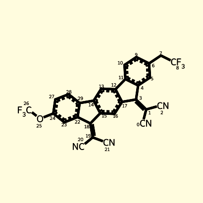 N#CC(C#N)=C1c2cc(CC(F)(F)F)ccc2-c2cc3c(cc21)C(=C(C#N)C#N)c1cc(OC(F)(F)F)ccc1-3